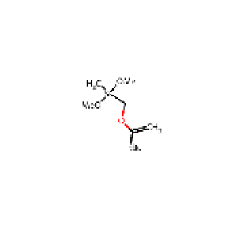 C=C(OC[Si](C)(OC)OC)C(C)(C)C